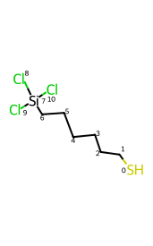 SCCCCCC[Si](Cl)(Cl)Cl